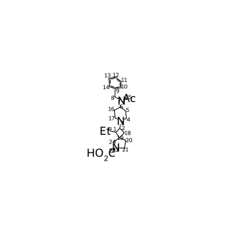 CCC1C(N2CCC(N(Cc3ccccc3)C(C)=O)CC2)CC12CCN(C(=O)O)C2